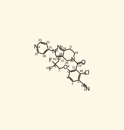 N#Cc1ccc(OCC(F)(F)F)c(C(=O)N2CCc3nn(-c4ccncc4)cc3C2)c1Cl